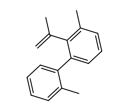 C=C(C)c1c(C)cccc1-c1ccccc1C